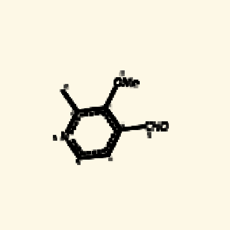 COc1c(C=O)ccnc1C